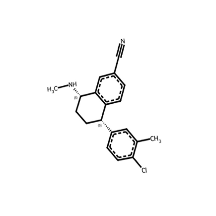 CN[C@H]1CC[C@@H](c2ccc(Cl)c(C)c2)c2ccc(C#N)cc21